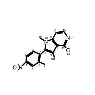 Cc1cc([N+](=O)[O-])ccc1-c1c(I)c2c(Cl)nccc2n1C